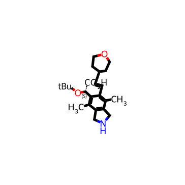 Cc1c(C=CC2CCOCC2)c([C@H](OC(C)(C)C)C(=O)O)c(C)c2c1CNC2